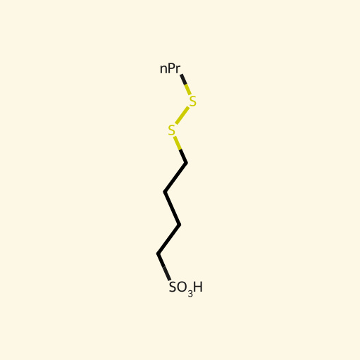 CCCSSCCCCS(=O)(=O)O